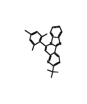 Cc1cc(C)c(-c2cc3nc(C(C)(C)C)ccc3c3nc4ccccc4n23)c(C)c1